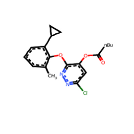 CCCCC(=O)Oc1cc(Cl)nnc1Oc1c(C)cccc1C1CC1